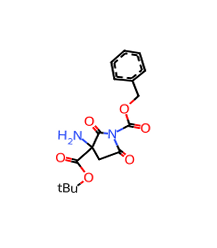 CC(C)(C)OC(=O)C1(N)CC(=O)N(C(=O)OCc2ccccc2)C1=O